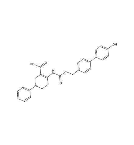 O=C(CCc1ccc(-c2ccc(O)cc2)cc1)NC1=C(C(=O)O)CN(c2ccccc2)CC1